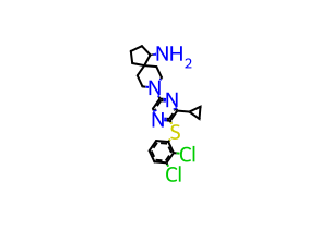 N[C@@H]1CCCC12CCN(c1cnc(Sc3cccc(Cl)c3Cl)c(C3CC3)n1)CC2